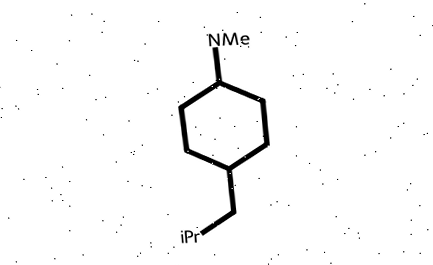 CNC1CCC(CC(C)C)CC1